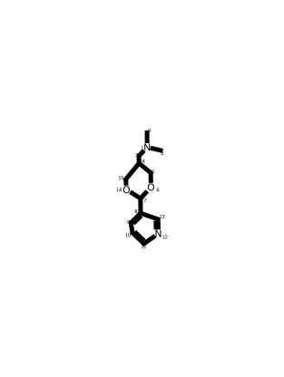 CN(C)CC1COC(c2cccnc2)OC1